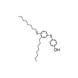 CCCCCCCCSc1ccc(Sc2ccc(O)cc2)cc1CCCCCCCC